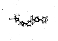 N#CCC1(C#N)CC(n2cc(-c3ccnc(Nc4ccc(N5CCOCC5)cc4)n3)cn2)C1